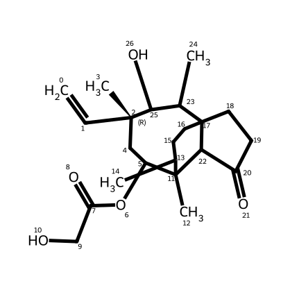 C=C[C@@]1(C)CC(OC(=O)CO)C2(C)C(C)CCC3(CCC(=O)C32)C(C)C1O